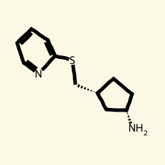 N[C@H]1CC[C@@H](CSc2ccccn2)C1